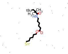 CC(C)(C)CC(C)(C)C(=O)NCCCCCC(=O)OCCCCCCS